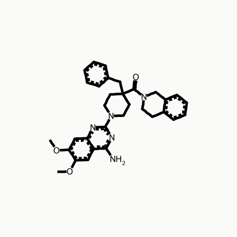 COc1cc2nc(N3CCC(Cc4ccccc4)(C(=O)N4CCc5ccccc5C4)CC3)nc(N)c2cc1OC